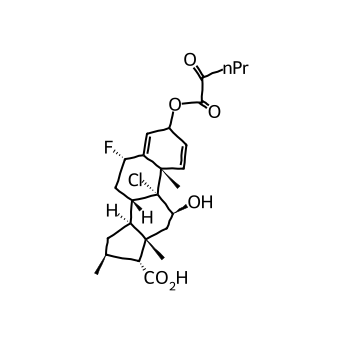 CCCC(=O)C(=O)OC1C=C[C@@]2(C)C(=C1)[C@@H](F)C[C@H]1[C@@H]3C[C@H](C)[C@@H](C(=O)O)[C@@]3(C)C[C@H](O)[C@@]12Cl